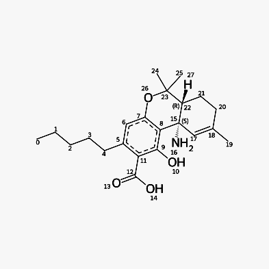 CCCCCc1cc2c(c(O)c1C(=O)O)[C@]1(N)C=C(C)CC[C@H]1C(C)(C)O2